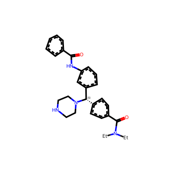 CCN(CC)C(=O)c1ccc([C@@H](c2cccc(NC(=O)c3ccccc3)c2)N2CCNCC2)cc1